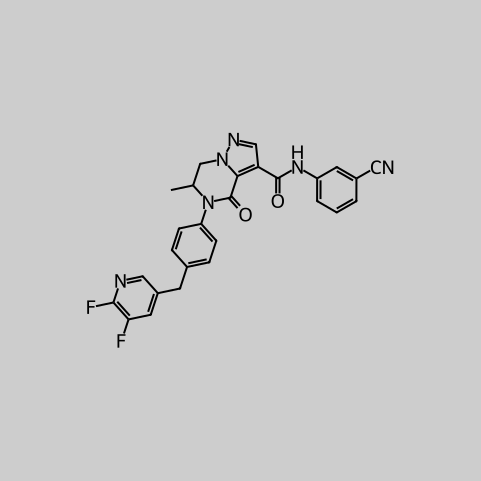 CC1Cn2ncc(C(=O)Nc3cccc(C#N)c3)c2C(=O)N1c1ccc(Cc2cnc(F)c(F)c2)cc1